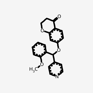 COc1ccccc1C(Oc1ccc2c(c1)OCCC2=O)c1ccncc1